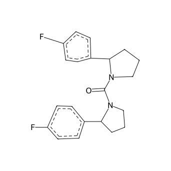 O=C(N1CCCC1c1ccc(F)cc1)N1CCCC1c1ccc(F)cc1